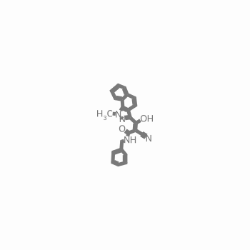 Cn1nc(C(O)=C(C#N)C(=O)NCc2ccccc2)c2ccc3ccccc3c21